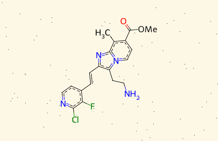 COC(=O)c1ccn2c(CCN)c(/C=C/c3ccnc(Cl)c3F)nc2c1C